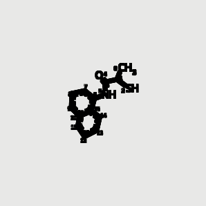 CC(S)C(=O)Nc1cccc2ccccc12